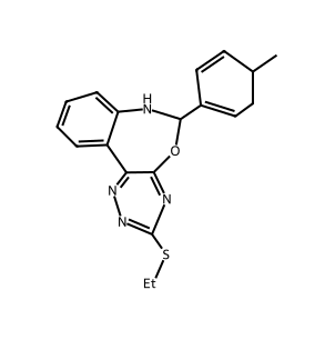 CCSc1nnc2c(n1)OC(C1=CCC(C)C=C1)Nc1ccccc1-2